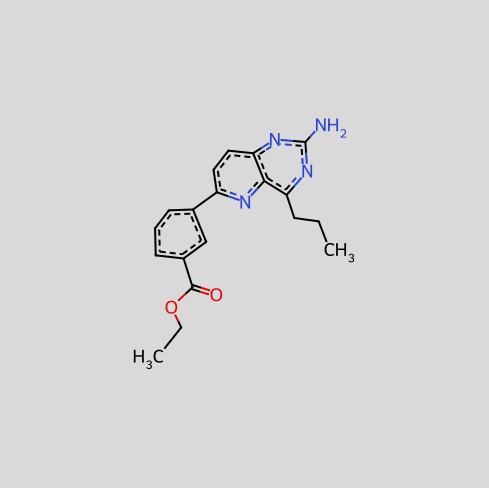 CCCc1nc(N)nc2ccc(-c3cccc(C(=O)OCC)c3)nc12